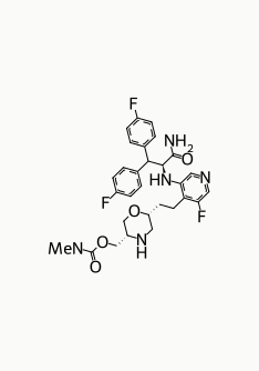 CNC(=O)OC[C@@H]1CO[C@H](CCc2c(F)cncc2N[C@H](C(N)=O)C(c2ccc(F)cc2)c2ccc(F)cc2)CN1